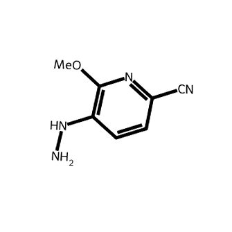 COc1nc(C#N)ccc1NN